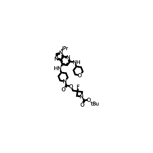 CC(C)n1cnc2c(NC3CCN(C(=O)OCC4(F)CN(C(=O)OC(C)(C)C)C4)CC3)cc(NC3CCOCC3)nc21